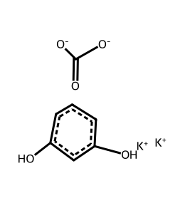 O=C([O-])[O-].Oc1cccc(O)c1.[K+].[K+]